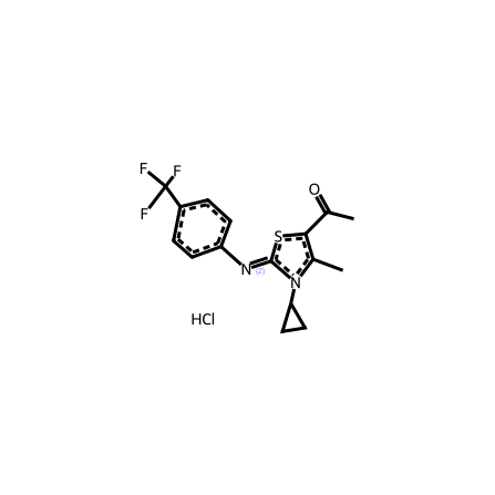 CC(=O)c1s/c(=N\c2ccc(C(F)(F)F)cc2)n(C2CC2)c1C.Cl